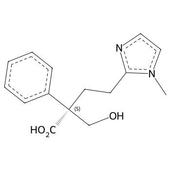 Cn1ccnc1CC[C@](CO)(C(=O)O)c1ccccc1